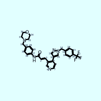 O=C(C=Cc1cnccc1-c1cnn(Cc2ccc(C(F)(F)F)cc2)c1)Nc1ccc(CN2CCOCC2)cc1